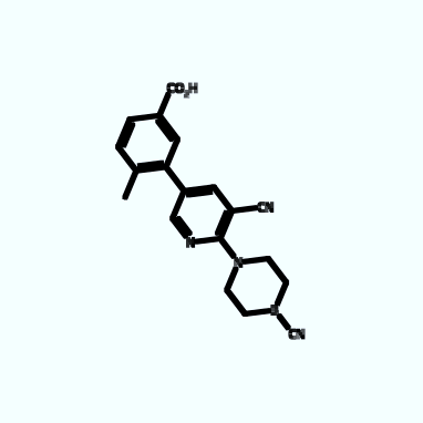 Cc1ccc(C(=O)O)cc1-c1cnc(N2CCB(C#N)CC2)c(C#N)c1